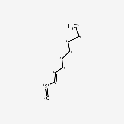 CCCCCCC=C[S+]=O